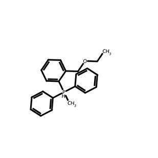 CCOCc1ccccc1[PH](C)(c1ccccc1)c1ccccc1